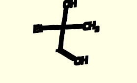 CCC(C)(O)[CH]O